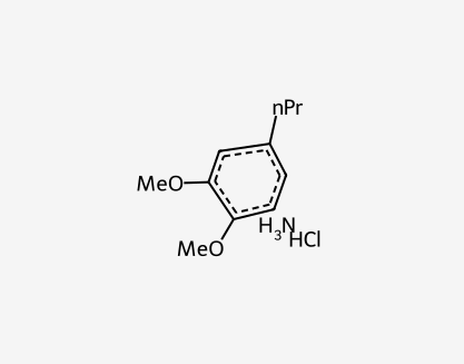 CCCc1ccc(OC)c(OC)c1.Cl.N